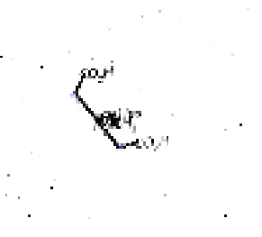 CCCCCCN(CCOC(=O)OC(CCCCCCCCCCCCCC/C=C\CCCCCCCC(=O)O)CCCCCCCCCCCCCC/C=C\CCCCCCCC(=O)O)CCN(C)C